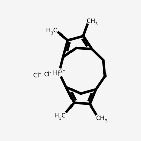 CC1=C2CCC3=C(C)C(C)=[C](C3)[Hf+2][C](=C1C)C2.[Cl-].[Cl-]